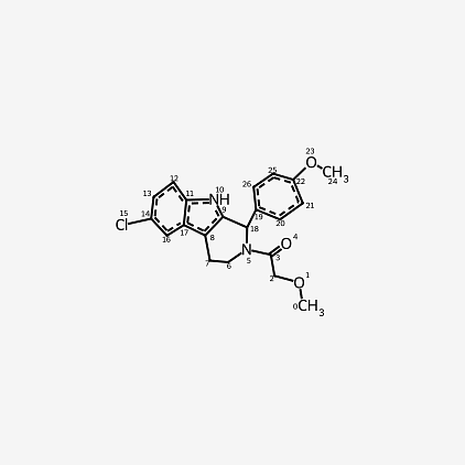 COCC(=O)N1CCc2c([nH]c3ccc(Cl)cc23)C1c1ccc(OC)cc1